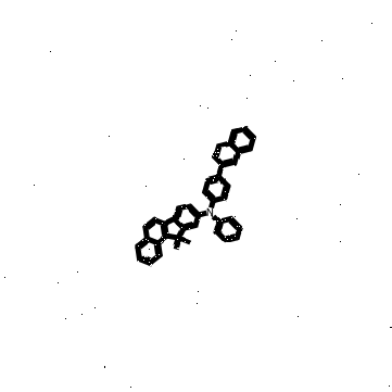 CC1(C)c2cc(N(c3ccccc3)c3ccc(-c4ccc5ccccc5c4)cc3)ccc2-c2ccc3ccccc3c21